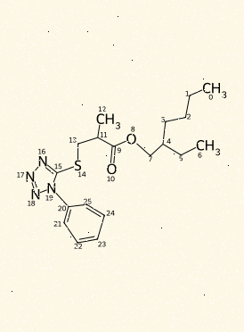 CCCCC(CC)COC(=O)C(C)CSc1nnnn1-c1ccccc1